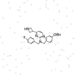 CC(C)COc1ccc(CN(Cc2ccc(F)cc2)c2nccc(C3CNC3)n2)cc1